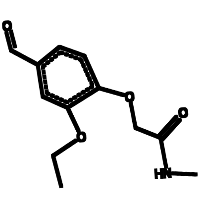 CCOc1cc(C=O)ccc1OCC(=O)NC